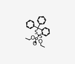 CCOP(=O)(OCC)C(=S)SC(c1ccccc1)(c1ccccc1)c1ccccc1